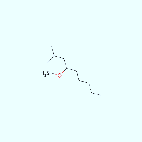 CCCCCC(CC(C)C)O[SiH3]